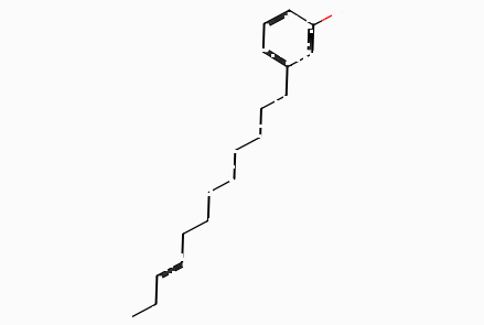 CCC=CCCCCCCCCc1cccc(O)c1